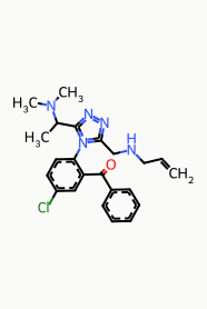 C=CCNCc1nnc(C(C)N(C)C)n1-c1ccc(Cl)cc1C(=O)c1ccccc1